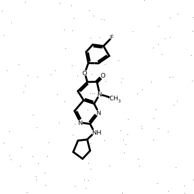 Cn1c(=O)c(Oc2ccc(F)cc2)cc2cnc(NC3CCCC3)nc21